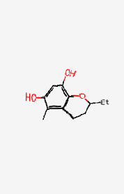 CCC1CCc2c(C)c(O)cc(O)c2O1